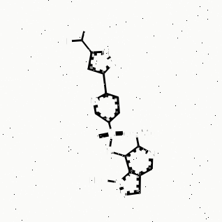 COc1ncc2cnn(C)c2c1NS(=O)(=O)c1ccc(-c2cc(C(F)F)n[nH]2)nc1